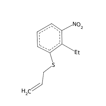 C=CCSc1cccc([N+](=O)[O-])c1CC